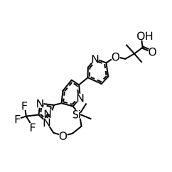 CC(C)(COc1ccc(-c2ccc3c(n2)[Si](C)(C)CCOCn2nc-3nc2C(F)(F)F)cn1)C(=O)O